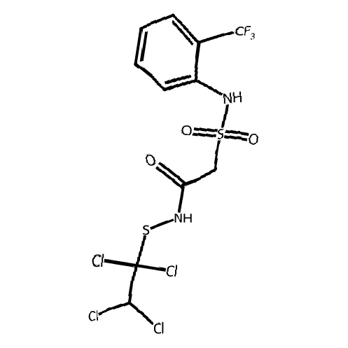 O=C(CS(=O)(=O)Nc1ccccc1C(F)(F)F)NSC(Cl)(Cl)C(Cl)Cl